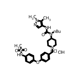 CCCCN(C(=O)Nc1cnn(C)c1C)C1CCN(Cc2ccc(Oc3ccc(NS(C)(=O)=O)cc3)cc2)CC1.Cl.Cl